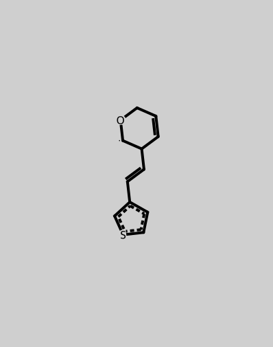 [CH]1OCC=CC1C=Cc1ccsc1